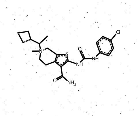 CC(C1CCC1)[N+]1(C)CCc2c(sc(NC(=O)Nc3ccc(Cl)cc3)c2C(N)=O)C1